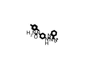 Cc1ccc(CN(C(N)=O)[C@H]2CC[C@@H](Nc3nc4c(c(N(C)C)n3)CCCC4)CC2)cc1